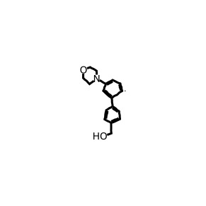 OCc1ccc(-c2[c]ccc(N3CCOCC3)c2)cc1